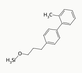 Cc1ccccc1-c1ccc(CCCO[SiH3])cc1